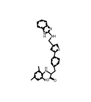 Cc1cc(C)c(NC(Cc2ccc(-c3cc(CNc4nc5ccccc5[nH]4)cs3)cc2)C(=O)O)c(C)c1